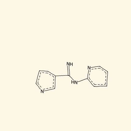 N=C(Nc1ccccn1)c1cccnc1